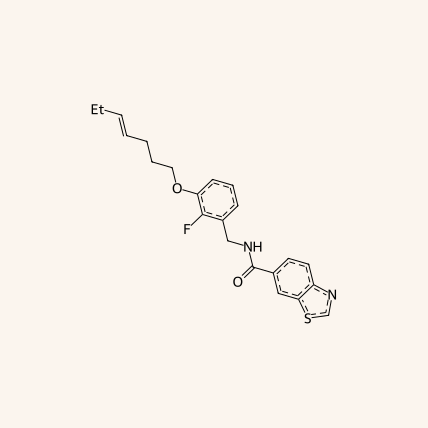 CCC=CCCCOc1cccc(CNC(=O)c2ccc3ncsc3c2)c1F